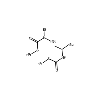 CCCCC(C)NC(=O)SCCC.CCCCN(CC)C(=O)SCCC